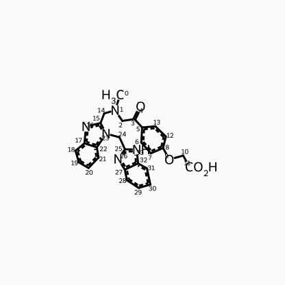 CN(CC(=O)c1ccc(OCC(=O)O)cc1)Cc1nc2ccccc2n1Cc1nc2ccccc2[nH]1